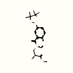 CNC(=O)C(C)Cn1cnc2ccc(B3OC(C)(C)C(C)(C)O3)cc2c1=O